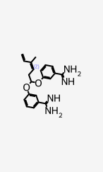 C=C/C(C)=C\CC(Oc1cccc(C(=N)N)c1)Oc1cccc(C(=N)N)c1